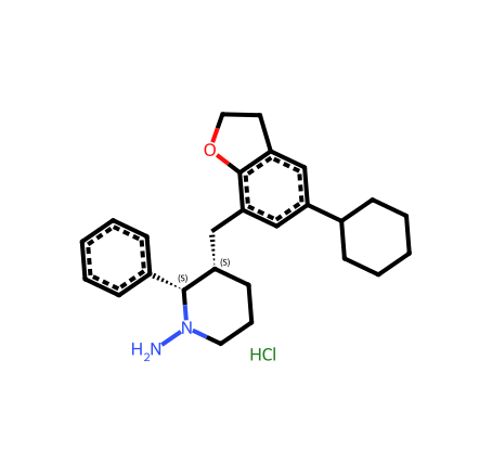 Cl.NN1CCC[C@@H](Cc2cc(C3CCCCC3)cc3c2OCC3)[C@H]1c1ccccc1